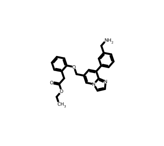 CCOC(=O)Cc1ccccc1OCc1cc(-c2cccc(CN)c2)c2nccn2c1